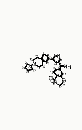 N=C(c1cncc(-c2ccc3c(c2)CCN(C2CCCC2)CC3)c1)c1ccc2c(c1)OCCNC2=O